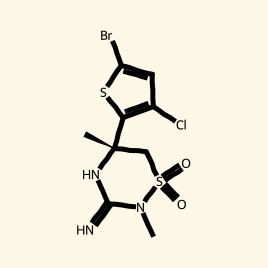 CN1C(=N)N[C@](C)(c2sc(Br)cc2Cl)CS1(=O)=O